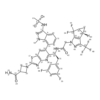 Cn1nc(NS(C)(=O)=O)c2cccc(-c3cc4sc(N5CC(C(N)=O)C5)nc4nc3[C@H](Cc3cc(F)cc(F)c3)NC(=O)Cn3nc(C(F)(F)F)c4c3C(F)(F)C3C[C@H]43)c21